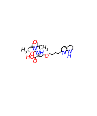 C[C@@H]1COC[C@H](C)N1C(=O)N[C@@H](CCOCCCCc1ccc2c(n1)NCCC2)C(=O)O